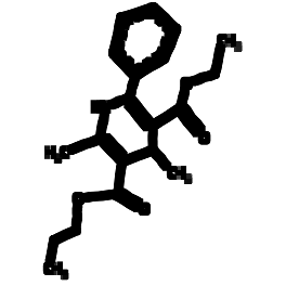 CCCOC(=O)C1=C(C)NC(c2ccccc2)=C(C(=O)OCC)C1C